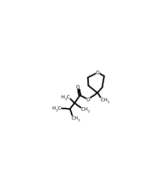 CC(C)C(C)(C)C(=O)OC1(C)CCOCC1